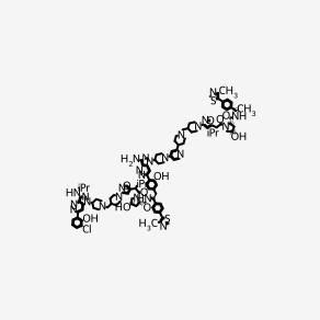 Cc1ncsc1-c1ccc([C@H](C)NC(=O)[C@@H]2C[C@@H](O)CN2C(=O)C(c2cc(N3CCC(CN4CCC(c5cc(N6CCC(n7nc(N)c8nnc(-c9ccc(C[C@H](NC(=O)[C@@H]%10C[C@@H](O)CN%10C(=O)C(c%10cc(N%11CCC(CN%12CCC(n%13nc(NC(C)C)c%14nnc(-c%15cccc(Cl)c%15O)cc%14%13)CC%12)CC%11)no%10)C(C)C)c%10ccc(-c%11scnc%11C)cc%10)cc9O)cc87)CC6)ccn5)CC4)CC3)no2)C(C)C)cc1